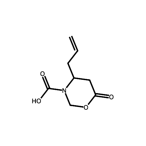 C=CCC1CC(=O)OCN1C(=O)O